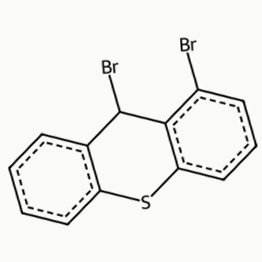 Brc1cccc2c1C(Br)c1ccccc1S2